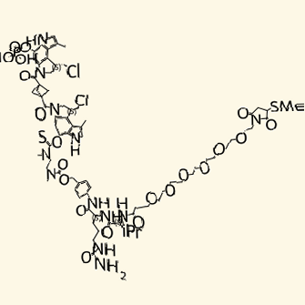 CSC1CC(=O)N(CCOCCOCCOCCOCCOCCOCCC(=O)N[C@H](C(=O)N[C@@H](CCCNC(N)=O)C(=O)Nc2ccc(COC(=O)N(C)CCN(C)C(=S)Oc3cc4c(c5c(C)c[nH]c35)[C@H](CCl)CN4C(=O)C34CC(C(=O)N5C[C@@H](CCl)c6c5cc(OP(=O)(O)O)c5[nH]cc(C)c65)(C3)C4)cc2)C(C)C)C1=O